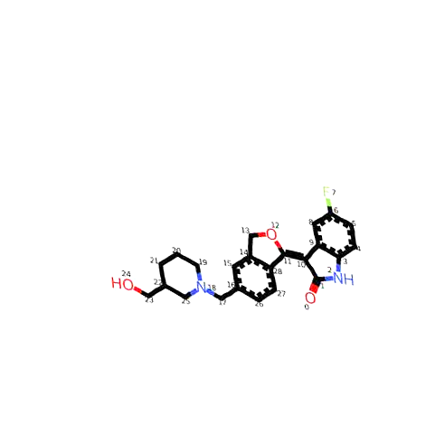 O=C1Nc2ccc(F)cc2C1=C1OCc2cc(CN3CCCC(CO)C3)ccc21